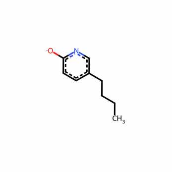 CCCCc1ccc([O])nc1